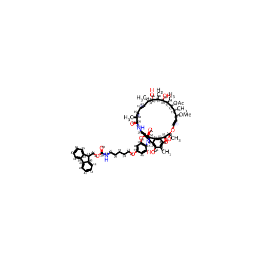 CO[C@H]1/C=C/O[C@@]2(C)Oc3c(C)c(O)c4c(=O)c(c5oc6cc(OCCCCCNC(=O)OCC7c8ccccc8-c8ccccc87)ccc6nc-5c4c3C2=O)NC(=O)/C(C)=C\C=C\[C@H](C)[C@H](O)[C@@H](C)[C@@H](O)[C@@H](C)[C@H](OC(C)=O)[C@@H]1C